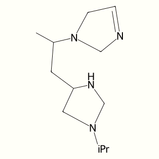 CC(C)N1CNC(CC(C)N2CC=NC2)C1